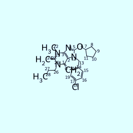 C=C1c2c(nc(OC3CCCC3)n2Cc2ccc(Cl)cc2)N(C)C(=C)N1CCC